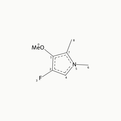 COc1c(F)cn(C)c1C